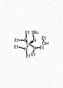 CCO.CC[N](CC)[Ta](=[N]C(C)(C)C)([N](CC)CC)[N](CC)CC